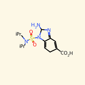 CC(C)N(C(C)C)S(=O)(=O)N1C2=CCC(C(=O)O)=CC2=NC1N